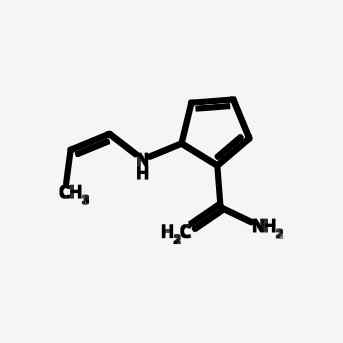 C=C(N)C1=CC=CC1N/C=C\C